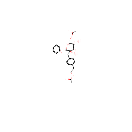 CC(=O)OCCc1ccc(C[C@]2(O)[C@H](Oc3ccccc3)O[C@H](COC(C)=O)[C@@H](O)[C@@H]2O)cc1